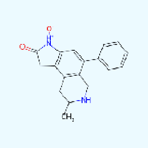 CC1Cc2c(c(-c3ccccc3)cc3c2CC(=O)[NH+]3[O-])CN1